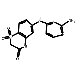 Nc1nccc(Nc2ccc3c(c2)NC(=O)CS3(=O)=O)n1